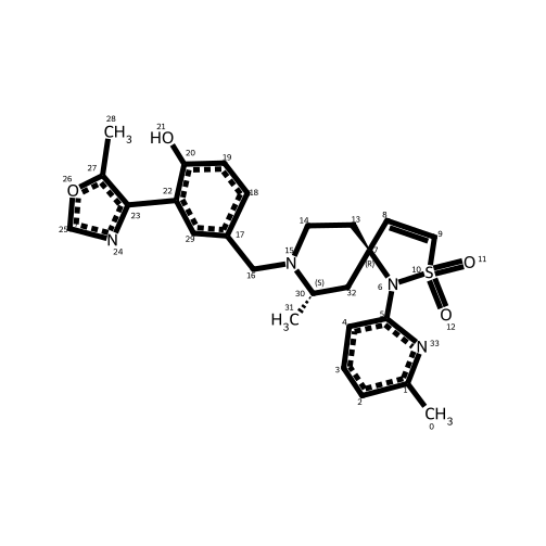 Cc1cccc(N2[C@]3(C=CS2(=O)=O)CCN(Cc2ccc(O)c(-c4ncoc4C)c2)[C@@H](C)C3)n1